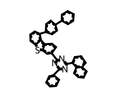 c1ccc(-c2ccc(-c3cccc4sc5cc(-c6nc(-c7ccccc7)nc(-c7cccc8ccccc78)n6)ccc5c34)cc2)cc1